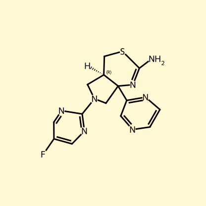 NC1=NC2(c3cnccn3)CN(c3ncc(F)cn3)C[C@H]2CS1